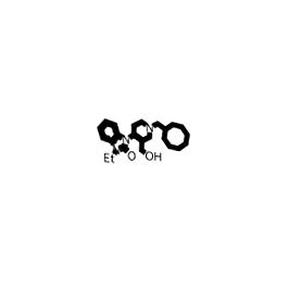 CCn1c(=O)n(C2=C(CO)CN(CC3CCCCCCC3)CC2)c2ccccc21